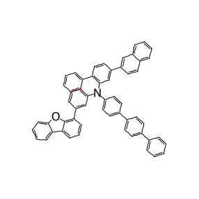 c1ccc(-c2ccc(-c3ccc(N(c4cccc(-c5cccc6c5oc5ccccc56)c4)c4cc(-c5ccc6ccccc6c5)ccc4-c4ccccc4)cc3)cc2)cc1